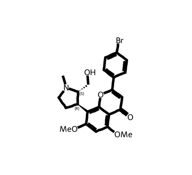 COc1cc(OC)c2c(=O)cc(-c3ccc(Br)cc3)oc2c1[C@H]1CCN(C)[C@@H]1CO